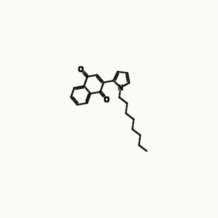 CCCCCCCCn1cccc1C1=CC(=O)c2ccccc2C1=O